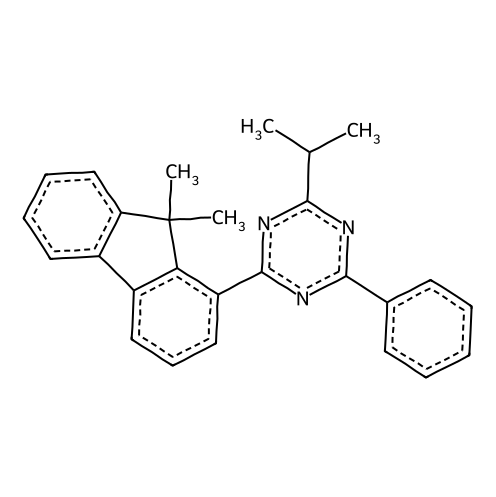 CC(C)c1nc(-c2ccccc2)nc(-c2cccc3c2C(C)(C)c2ccccc2-3)n1